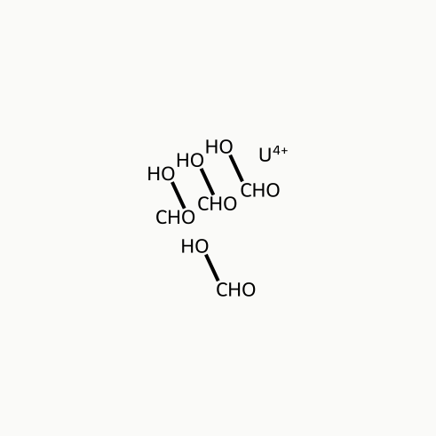 O=[C-]O.O=[C-]O.O=[C-]O.O=[C-]O.[U+4]